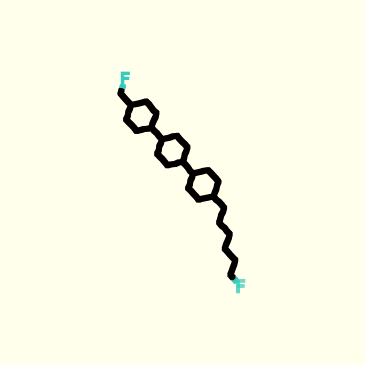 FCCCCCCC1CCC(C2CCC(C3CCC(CF)CC3)CC2)CC1